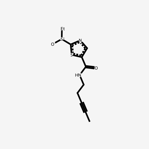 CC#CCCNC(=O)c1cnc([S+]([O-])CC)s1